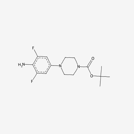 CC(C)(C)OC(=O)N1CCN(c2cc(F)c(N)c(F)c2)CC1